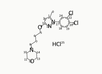 Cc1cc(OCCCCN2CCOCC2)nn1-c1ccc(Cl)c(Cl)c1.Cl